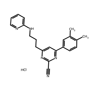 Cc1ccc(-c2cc(CCCNc3ccccn3)nc(C#N)n2)cc1C.Cl